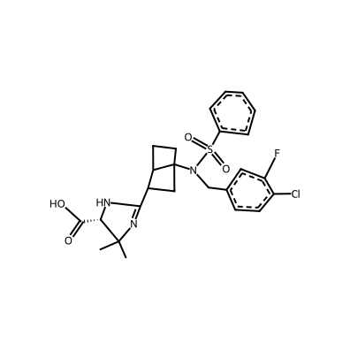 CC1(C)N=C(C2CC3(N(Cc4ccc(Cl)c(F)c4)S(=O)(=O)c4ccccc4)CCC23)N[C@H]1C(=O)O